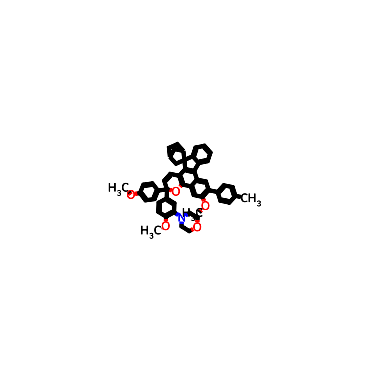 COc1ccc(C2(c3ccc(OC)c(N4CCOCC4)c3)C=Cc3c4c(c5cc(-c6ccc(C)cc6)c(OC)cc5c3O2)-c2ccccc2C42CC3CCC2C3)cc1